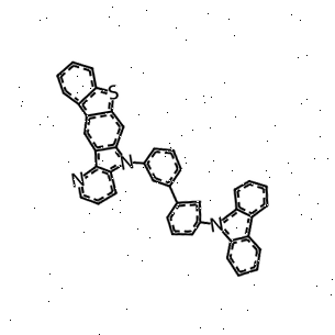 c1cc(-c2cccc(-n3c4cc5sc6ccccc6c5cc4c4ncccc43)c2)cc(-n2c3ccccc3c3ccccc32)c1